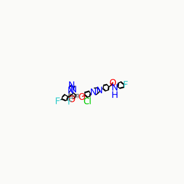 O=C(Nc1ccc(F)cc1)c1ccc(N2CCN(c3ccc(OC[C@@H]4CO[C@@](Cn5cncn5)(c5ccc(F)cc5F)C4)c(Cl)c3)CC2)cc1